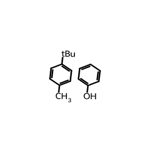 Cc1ccc(C(C)(C)C)cc1.Oc1ccccc1